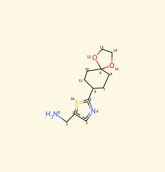 NCc1cnc(C2CCC3(CC2)OCCO3)s1